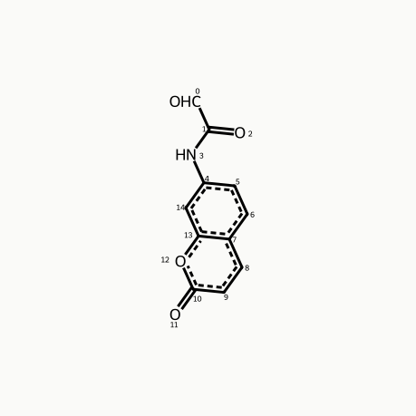 O=CC(=O)Nc1ccc2ccc(=O)oc2c1